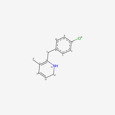 CC1=C(Cc2ccc(Cl)cc2)NCC=C1